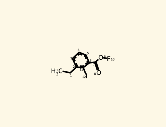 CCc1cccc(C(=O)OF)c1I